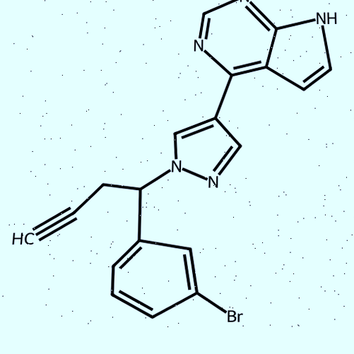 C#CCC(c1cccc(Br)c1)n1cc(-c2ncnc3[nH]ccc23)cn1